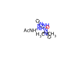 CC(=O)NCCNc1nc(-c2ccccc2)nc2[nH]c(C(=O)N3C[C@@H](C)N(Cc4ccccc4)[C@@H](C)C3)cc12